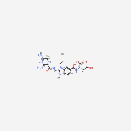 CCn1c(CNC(=O)c2nc(Cl)c(N)nc2N)[n+](C)c2ccc(C(=O)N[C@@H](CCO)C(=O)O)cc21.[I-]